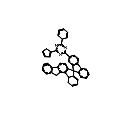 C1=CC=CC(c2nc(C3=CC=CC3)nc(-c3ccc4c(c3)C3(C5=CC=CCC5c5c3ccc3c5Cc5ccc#cc5-3)c3ccccc3-4)n2)C=1